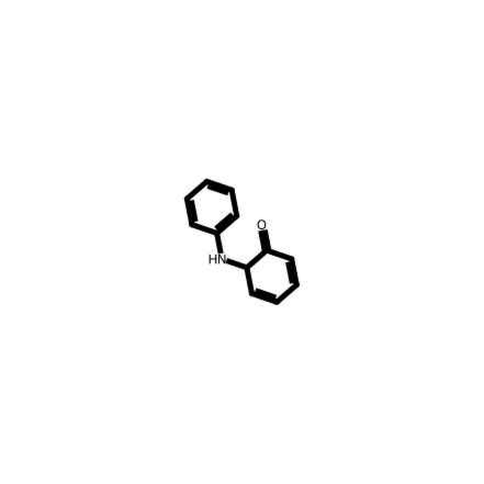 O=C1C=CC=CC1Nc1ccccc1